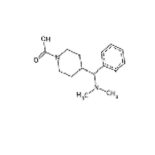 CN(C)C(c1ccccc1)C1CCN(C(=O)O)CC1